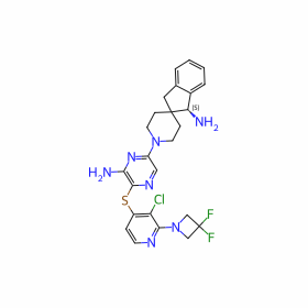 Nc1nc(N2CCC3(CC2)Cc2ccccc2[C@H]3N)cnc1Sc1ccnc(N2CC(F)(F)C2)c1Cl